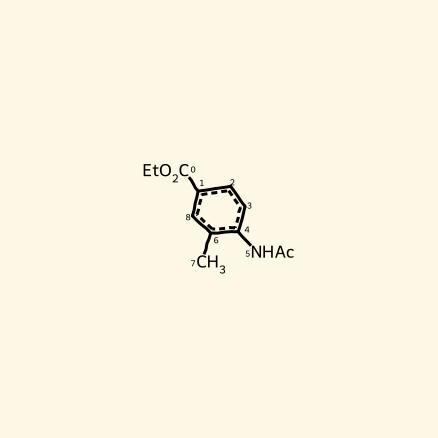 CCOC(=O)c1ccc(NC(C)=O)c(C)c1